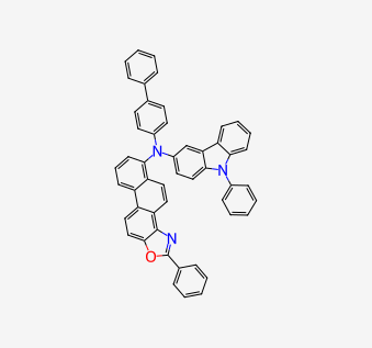 c1ccc(-c2ccc(N(c3ccc4c(c3)c3ccccc3n4-c3ccccc3)c3cccc4c3ccc3c4ccc4oc(-c5ccccc5)nc43)cc2)cc1